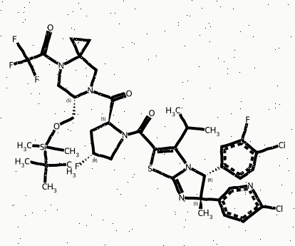 CC(C)C1=C(C(=O)N2C[C@H](F)C[C@H]2C(=O)N2CC3(CC3)N(C(=O)C(F)(F)F)C[C@H]2CO[Si](C)(C)C(C)(C)C)SC2=N[C@@](C)(c3ccc(Cl)nc3)[C@@H](c3ccc(Cl)c(F)c3)N21